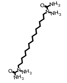 NC(=O)N(N)CCCCCCCCCCCCCCCN(N)C(N)=O